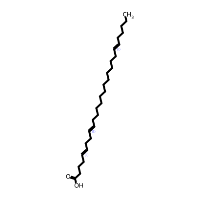 CCCCC/C=C/CCCCCCCCCCCC/C=C/CC/C=C/CCCC(=O)O